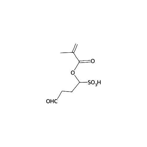 C=C(C)C(=O)OC(CCC=O)S(=O)(=O)O